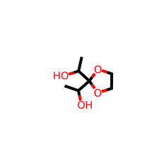 CC(O)C1(C(C)O)OCCO1